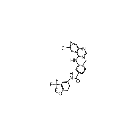 COC1=C(C(F)(F)F)C=C(NC(=O)c2ccc(C)c(Nc3ncnc4cnc(Cl)cc34)c2)CC1